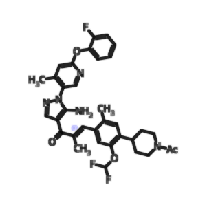 CC(=O)N1CCC(c2cc(C)c(/C=C(\C)C(=O)c3cnn(-c4cnc(Oc5ccccc5F)cc4C)c3N)cc2OC(F)F)CC1